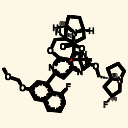 COCOc1cc(-c2cc3nc(OC[C@]45CCCN4C[C@H](F)C5)nc4c3c(n2)OC[C@H]2[C@@H]3CC[C@H](CN42)N3C(=O)OC(C)(C)C)c2c(F)cccc2c1